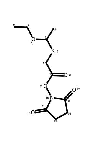 CCOC(C)SCC(=O)ON1C(=O)CCC1=O